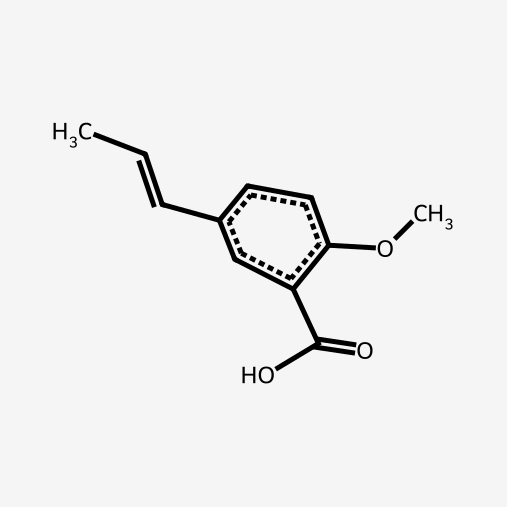 CC=Cc1ccc(OC)c(C(=O)O)c1